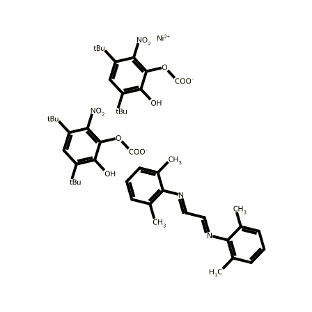 CC(C)(C)c1cc(C(C)(C)C)c([N+](=O)[O-])c(OC(=O)[O-])c1O.CC(C)(C)c1cc(C(C)(C)C)c([N+](=O)[O-])c(OC(=O)[O-])c1O.Cc1cccc(C)c1N=CC=Nc1c(C)cccc1C.[Ni+2]